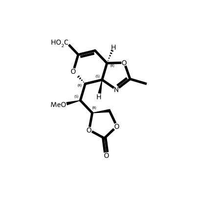 CO[C@@H]([C@@H]1OC(C(=O)O)=C[C@H]2OC(C)=N[C@H]12)[C@H]1COC(=O)O1